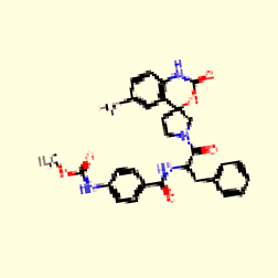 COC(=O)Nc1ccc(C(=O)NC(Cc2ccccc2)C(=O)N2CCC3(C2)OC(=O)Nc2ccc(C)cc23)cc1